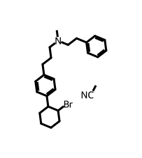 CC#N.CN(CCCc1ccc(C2CCCCC2Br)cc1)CCc1ccccc1